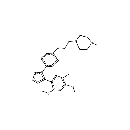 COc1cc(OC)c(-c2ccnn2-c2ccc(OCCN3CCN(C)CC3)cc2)cc1I